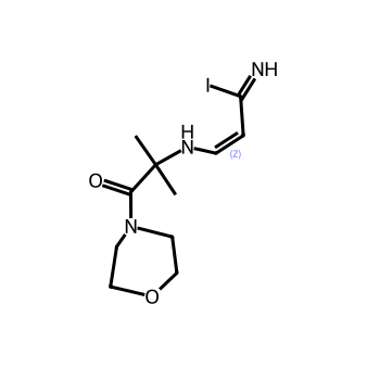 CC(C)(N/C=C\C(=N)I)C(=O)N1CCOCC1